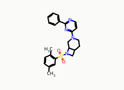 Cc1ccc(C)c(S(=O)(=O)N2CC3CCN(c4ccnc(-c5ccccc5)n4)CC32)c1